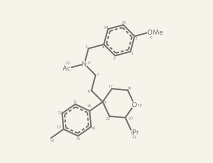 COc1ccc(CN(CCC2(c3ccc(C)cc3)CCOC(C(C)C)C2)C(C)=O)cc1